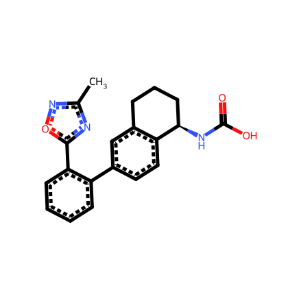 Cc1noc(-c2ccccc2-c2ccc3c(c2)CCC[C@H]3NC(=O)O)n1